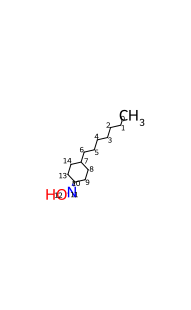 CCCCCCCC1CCC(=NO)CC1